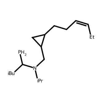 CC/C=C\CCC1CC1CN(C(C)C)C(P)C(C)CC